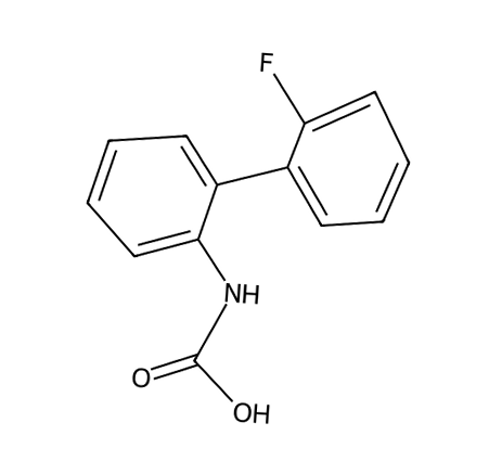 O=C(O)Nc1ccccc1-c1ccccc1F